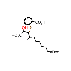 CCCCCCCCCCCCCCCCC(C)C(Sc1ccccc1C(=O)O)C(O)C(=O)O